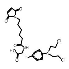 O=C(CCCCCN1C(=O)C=CC1=O)N[C@H](Cc1ccc(N(CCCl)CCCl)cc1)C(=O)O